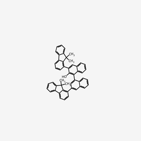 CC1(C)c2ccccc2-c2cccc(-c3cc(-c4c(O)c(-c5cccc6c5C(C)(C)c5ccccc5-6)cc5ccccc45)c4ccccc4c3)c21